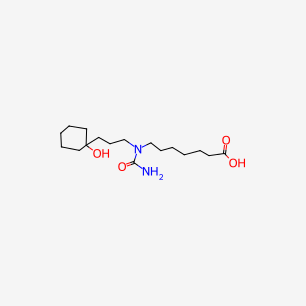 NC(=O)N(CCCCCCC(=O)O)CCCC1(O)CCCCC1